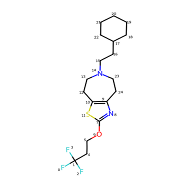 FC(F)(F)CCOc1nc2c(s1)CCN(CCC1CCCCC1)CC2